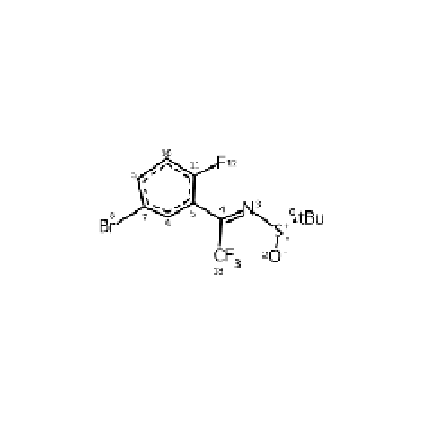 CC(C)(C)[S@@+]([O-])N=C(c1cc(Br)ccc1F)C(F)(F)F